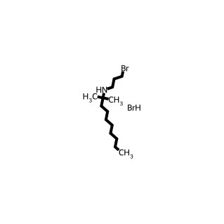 Br.CCCCCCCCC(C)(C)NCCCBr